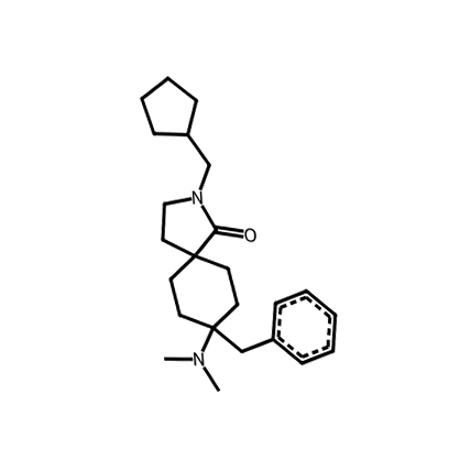 CN(C)C1(Cc2ccccc2)CCC2(CCN(CC3CCCC3)C2=O)CC1